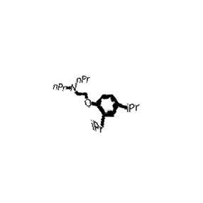 CCCN(CCC)CCOc1ccc(C(C)C)cc1C(C)C